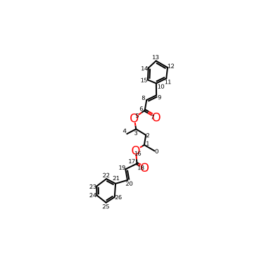 CC(CC(C)OC(=O)C=Cc1ccccc1)OC(=O)C=Cc1ccccc1